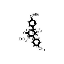 CCCCOc1ccc(C2(C)NC(=O)C(C(=O)OCC)=C(c3ccc(C)cc3)C2(F)F)cc1